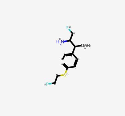 C=C(/C=C\C(=C/C)C(OC)C(N)CF)SCCF